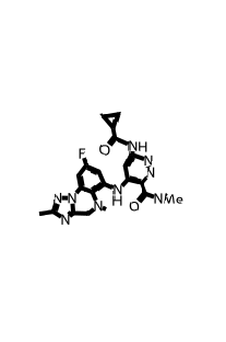 CNC(=O)c1nnc(NC(=O)C2CC2)cc1Nc1cc(F)cc2c1N(C)Cc1nc(C)nn1-2